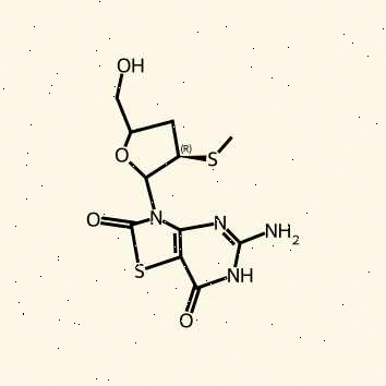 CS[C@@H]1CC(CO)OC1n1c(=O)sc2c(=O)[nH]c(N)nc21